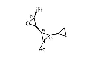 CC(=O)N1[C@H](C2CC2)[C@@H]1C1O[C@H]1C(C)C